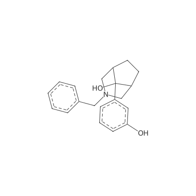 Oc1cccc(C2(O)C3CCC2CN(Cc2ccccc2)C3)c1